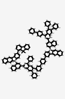 CC1(C)c2ccccc2-c2cccc(-c3ccc4c(c3)c3cc5ccccc5cc3n4-c3cc(-c4nc(-c5ccccc5)c5cc(-c6cccc(-c7ccc(-c8ccc9c(c8)c8cc%10ccccc%10cc8n9-c8ccc(-c9nc(-c%10ccc(-c%11ccccc%11)cc%10)c%10cc(-c%11ccccc%11)c(-c%11ccccc%11)cc%10n9)c9ccccc89)cc7)c6)c(-c6ccccc6)cc5n4)cc4ccccc34)c21